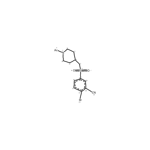 CC(=O)N1CCC(CS(=O)(=O)c2ccc(Br)c(C#N)c2)CC1